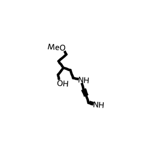 COCCC(CO)CCNC#CC=N